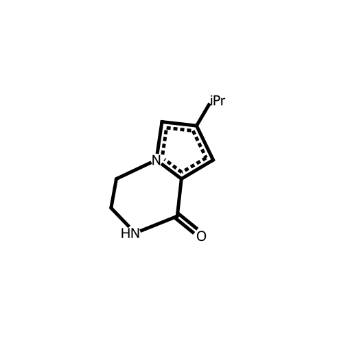 CC(C)c1cc2n(c1)CCNC2=O